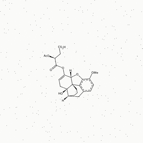 COc1ccc2c3c1O[C@H]1C(OC(=O)[C@H](CC(=O)O)OC(C)=O)=CC[C@@]4(O)[C@H](CCC[C@]314)C2